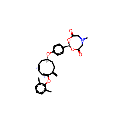 C=C1CC[C@@H](Oc2ccc(B3OC(=O)CN(C)CC(=O)O3)cc2)C/C=C\C=C/1Oc1c(C)cccc1C